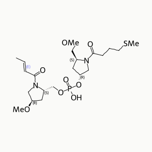 C/C=C/C(=O)N1C[C@H](OC)C[C@H]1COP(=O)(O)O[C@@H]1C[C@@H](COC)N(C(=O)CCCSC)C1